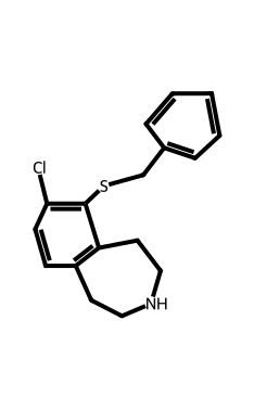 Clc1ccc2c(c1SCc1ccccc1)CCNCC2